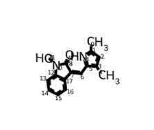 Cc1cc(C)c(/C=C2\C(=O)N(O)c3ccccc32)[nH]1